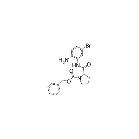 Nc1ccc(Br)cc1NC(=O)C1CCCN1C(=O)OCc1ccccc1